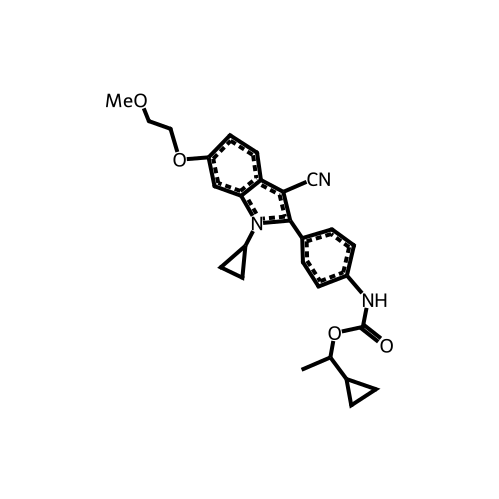 COCCOc1ccc2c(C#N)c(-c3ccc(NC(=O)OC(C)C4CC4)cc3)n(C3CC3)c2c1